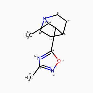 Cc1noc(C2C3CCN(CC3)C2C)n1